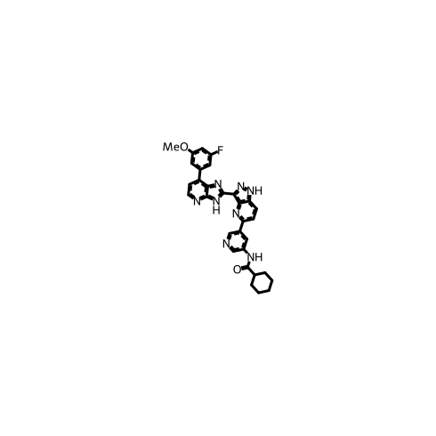 COc1cc(F)cc(-c2ccnc3[nH]c(-c4n[nH]c5ccc(-c6cncc(NC(=O)C7CCCCC7)c6)nc45)nc23)c1